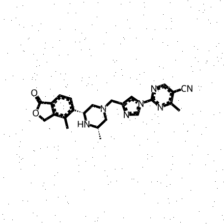 Cc1nc(-n2cnc(CN3C[C@@H](c4ccc5c(c4C)COC5=O)N[C@@H](C)C3)c2)ncc1C#N